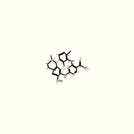 COc1cc2c(cc1Nc1ncc(C(N)=O)c(Nc3c(C)cccc3F)n1)CN(C)CC2